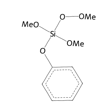 COO[Si](OC)(OC)Oc1ccccc1